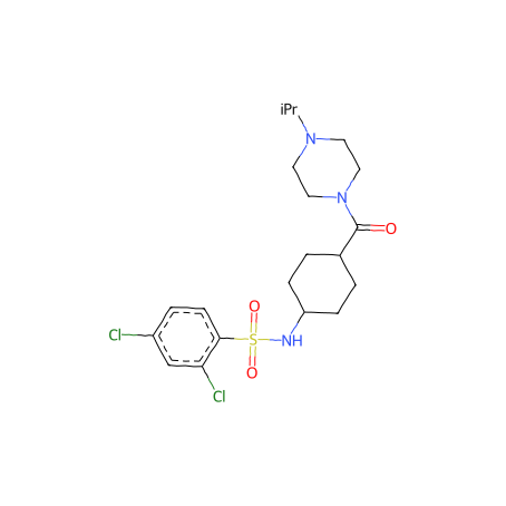 CC(C)N1CCN(C(=O)C2CCC(NS(=O)(=O)c3ccc(Cl)cc3Cl)CC2)CC1